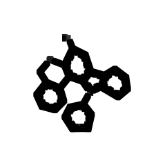 Brc1cc2c3ccccc3n(-c3ccccc3)c2c2c1OCc1ccccc1-2